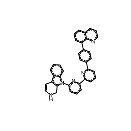 C1=Cc2c(n(-c3cccc(-c4cccc(-c5ccc(-c6cccc7cccnc67)cc5)n4)n3)c3ccccc23)CN1